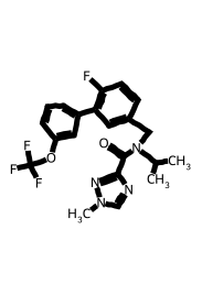 CC(C)N(Cc1ccc(F)c(-c2cccc(OC(F)(F)F)c2)c1)C(=O)c1ncn(C)n1